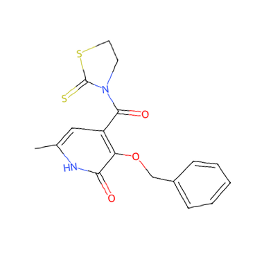 Cc1cc(C(=O)N2CCSC2=S)c(OCc2ccccc2)c(=O)[nH]1